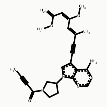 C=C(/C=C(\C=C(/C)C#Cc1cn(C2CCN(C(=O)C#CC)C2)c2ncnc(N)c12)OC)OC